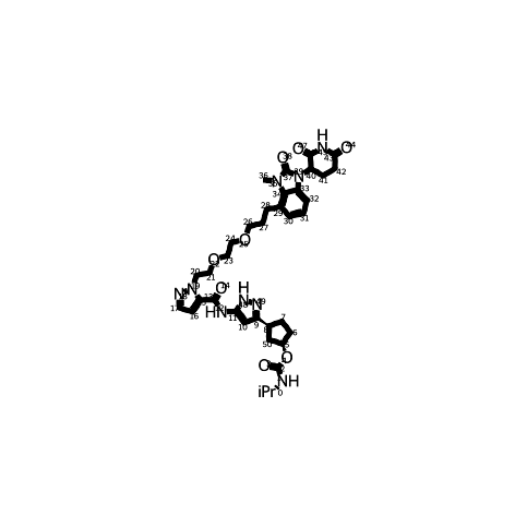 CC(C)NC(=O)O[C@@H]1CC[C@H](c2cc(NC(=O)c3ccnn3CCOCCOCCCc3cccc4c3n(C)c(=O)n4C3CCC(=O)NC3=O)[nH]n2)C1